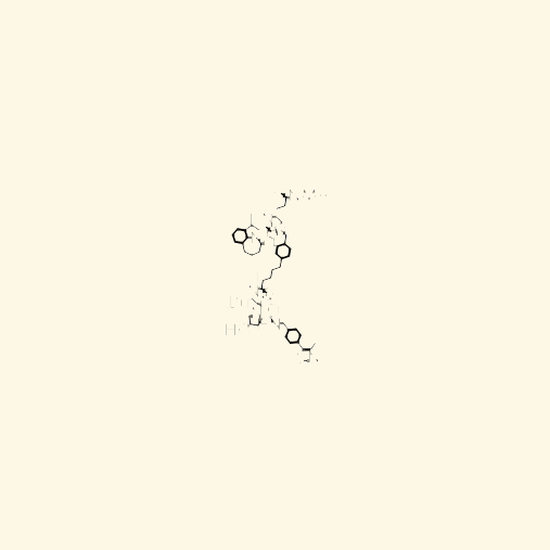 CNC(=O)CC[C@H](NC(=O)[C@@H]1Cc2cccc3c2N1C(=O)CCC3)[C@@H](C)OCc1ccc(CCCCC(=O)N[C@H](C(=O)N2C[C@H](O)C[C@H]2C(=O)NCc2ccc(-c3scnc3C)cc2)C(C)(C)C)cc1